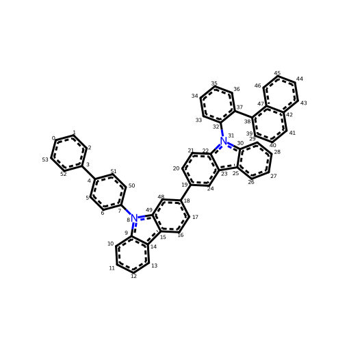 c1ccc(-c2ccc(-n3c4ccccc4c4ccc(-c5ccc6c(c5)c5ccccc5n6-c5ccccc5-c5cccc6ccccc56)cc43)cc2)cc1